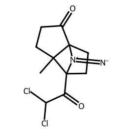 CC12CCC(=O)C13CCC2(C(=O)C(Cl)Cl)[N+]3=[N-]